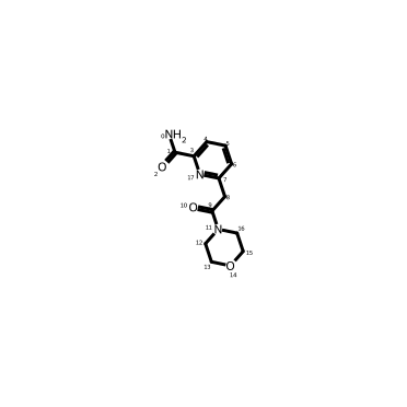 NC(=O)c1cccc(CC(=O)N2CCOCC2)n1